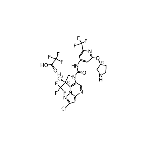 C[C@@]1(C(F)(F)F)CN(C(=O)Nc2cc(O[C@H]3CCNC3)nc(C(F)(F)F)c2)c2cnc3cc(Cl)nn3c21.O=C(O)C(F)(F)F